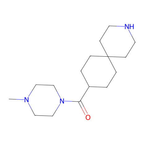 CN1CCN(C(=O)C2CCC3(CCNCC3)CC2)CC1